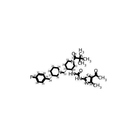 CC(=O)c1sc(NC(=O)N[C@H]2CN(C(=O)C(C)(C)C)CC[C@H]2CN2CCC[C@@H](Cc3ccc(F)cc3)C2)nc1C